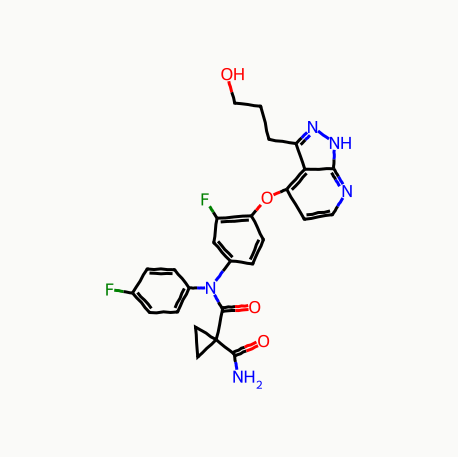 NC(=O)C1(C(=O)N(c2ccc(F)cc2)c2ccc(Oc3ccnc4[nH]nc(CCCO)c34)c(F)c2)CC1